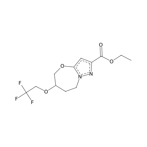 CCOC(=O)c1cc2n(n1)CCC(OCC(F)(F)F)CO2